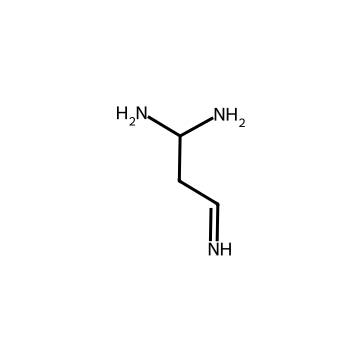 N=CCC(N)N